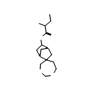 CCC(I)C(=O)OC1CC2CC1CC21CCOCOC1